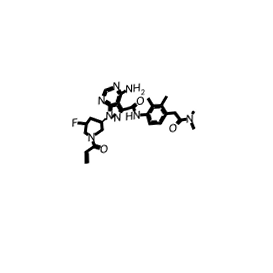 C=CC(=O)N1CC(F)C[C@@H](n2nc(C(=O)Nc3ccc(CC(=O)N(C)C)c(C)c3C)c3c(N)ncnc32)C1